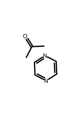 CC(C)=O.c1cnccn1